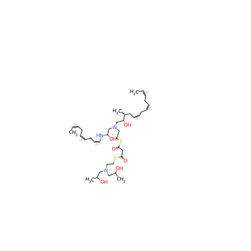 C/C=C\C/C=C\C/C=C\CC(C)C(O)CN(CCSC(=O)CC(=O)SCCN(CC(C)O)CC(C)O)CC(O)N/C=C\C/C=C\C/C=C\C